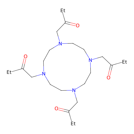 CCC(=O)CN1CCN(CC(=O)CC)CCN(CC(=O)CC)CCN(CC(=O)CC)CC1